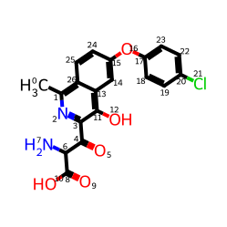 Cc1nc(C(=O)C(N)C(=O)O)c(O)c2cc(Oc3ccc(Cl)cc3)ccc12